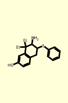 CCC1(CC)c2cc(O)ccc2CC(Sc2ccccc2)C1N